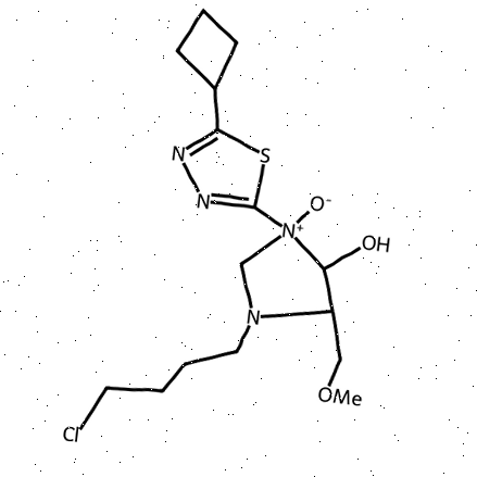 COCC1C(O)[N+]([O-])(c2nnc(C3CCC3)s2)CN1CCCCCl